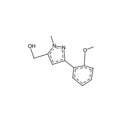 COc1ccccc1-c1cc(CO)n(C)n1